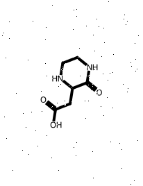 O=C(O)CC1NCCNC1=O